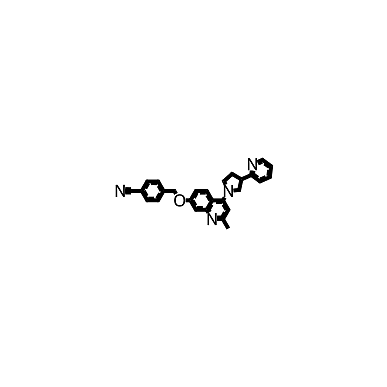 Cc1cc(N2CCC(c3ccccn3)C2)c2ccc(OCc3ccc(C#N)cc3)cc2n1